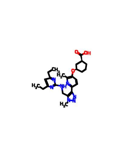 CCc1cc(CC)nc(NCc2c(-c3ccc(O[C@H]4CCC[C@H](C(=O)O)C4)c(C)n3)nnn2C)n1